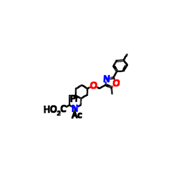 CC(=O)N(CC1CCCC(OCc2nc(-c3ccc(C)cc3)oc2C)C1)C(C(=O)O)C(C)C